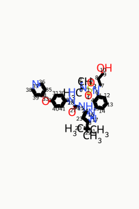 CN(C)S(=O)(=O)N(CCCO)c1cccc(-n2nc(C(C)(C)C)cc2NC(=O)Nc2ccc(Oc3ccncc3)cc2)c1